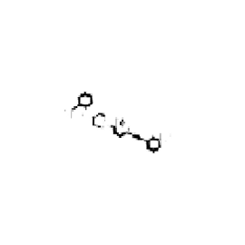 N#Cc1ccccc1OC1CCN(c2ccc(C#Cc3cccc(O)c3)nn2)CC1